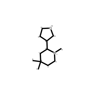 CN1CCC(C)(C)CC1C1CCOC1